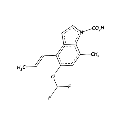 CC=Cc1c(OC(F)F)cc(C)c2c1ccn2C(=O)O